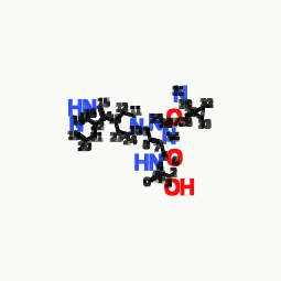 C[C@H](CO)NC(=O)c1cc(N2CCC(c3c[nH]c4ncccc34)CC2)nc(OCC2(C#N)CC2)n1